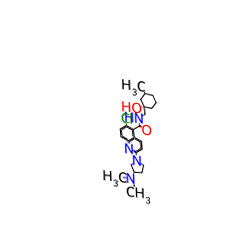 CCN(C)C1CCN(c2ccc3c(C(=O)NC[C@]4(O)CCCC(C)C4)c(Cl)ccc3n2)C1